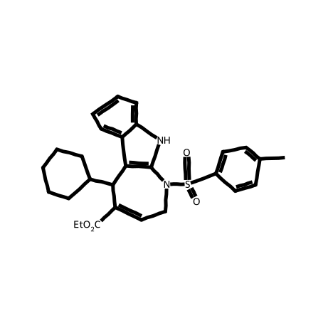 CCOC(=O)C1=CCN(S(=O)(=O)c2ccc(C)cc2)c2[nH]c3ccccc3c2C1C1CCCCC1